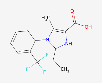 CCC1NC(C(=O)O)=C(C)N1C1CC=CC=C1C(F)(F)F